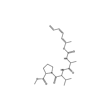 C=C/C=C\C=C(/C)OC(=O)NC(C)C(=O)NC(C(=O)N1CCCC1C(=O)OC)C(C)C